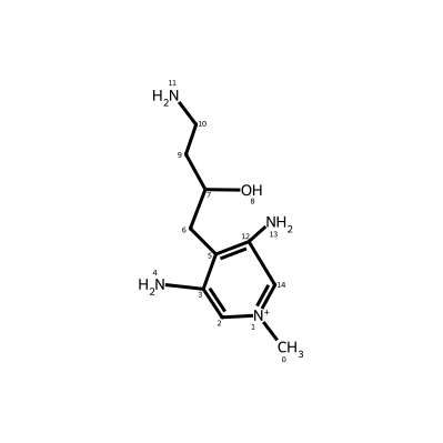 C[n+]1cc(N)c(CC(O)CCN)c(N)c1